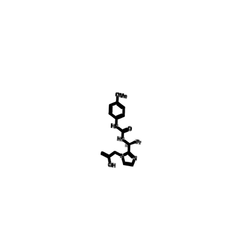 C=C(O)Cn1ccnc1[C@@H](NC(=O)Nc1ccc(OC)cc1)C(C)C